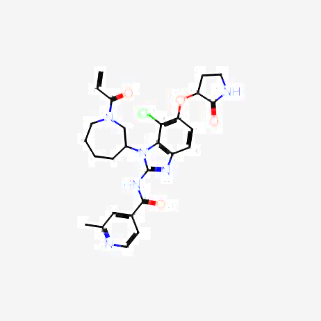 C=CC(=O)N1CCCCC(n2c(NC(=O)c3ccnc(C)c3)nc3ccc(OC4CCNC4=O)c(Cl)c32)C1